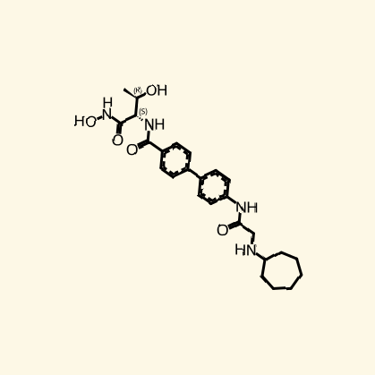 C[C@@H](O)[C@H](NC(=O)c1ccc(-c2ccc(NC(=O)CNC3CCCCCC3)cc2)cc1)C(=O)NO